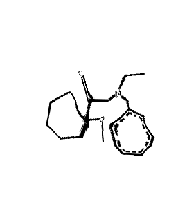 CCN(C(=O)C1(OC)CCCCC1)c1ccccc1